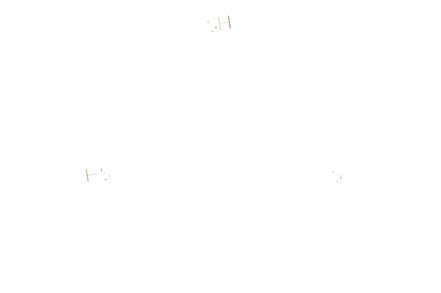 SCCC(CCS)c1cccs1